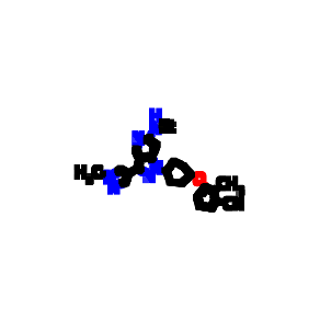 CCNc1cc2c(cn1)c(-c1cnn(C)c1)nn2[C@H]1CC[C@@H](Oc2cccc(C#N)c2C)CC1